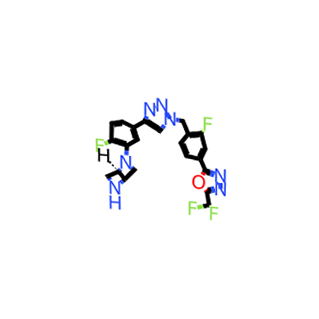 Fc1cc(-c2nnc(C(F)F)o2)ccc1Cn1cc(-c2ccc(F)c(N3CC4NC[C@H]43)c2)nn1